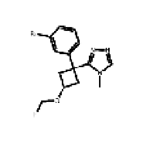 Cn1cnnc1[C@]1(c2cccc(Br)c2)C[C@H](OCF)C1